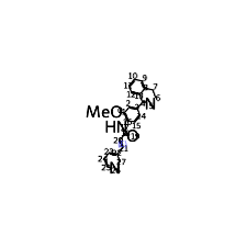 COc1cc(C2=NCCc3ccccc32)ccc1NC(=O)/C=C/c1cccnc1